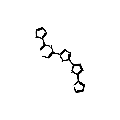 C=C(S/C(=C\C)c1ccc(C2=C=C=C(c3cccs3)S2)s1)c1cccs1